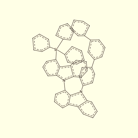 c1ccc(-c2cccc(-c3ccc(-n4c5ccccc5c5cccc(-n6c7ccccc7c7c([Si](c8ccccc8)(c8ccccc8)c8ccccc8)cccc76)c54)cc3)c2)cc1